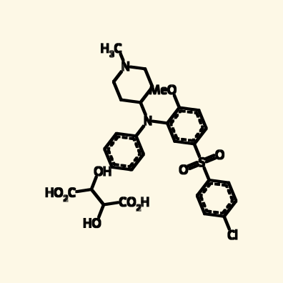 COc1ccc(S(=O)(=O)c2ccc(Cl)cc2)cc1N(c1ccccc1)C1CCN(C)CC1.O=C(O)C(O)C(O)C(=O)O